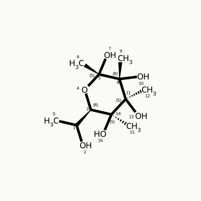 CC(O)[C@H]1O[C@](C)(O)[C@](C)(O)[C@@](C)(O)[C@@]1(C)O